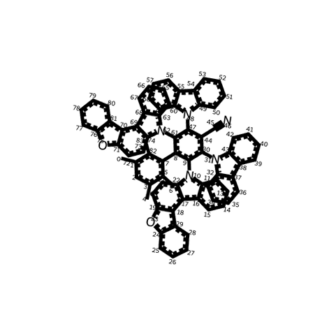 Cc1cc(C)c(C)c(-c2c(-n3c4ccccc4c4c5c(ccc43)oc3ccccc35)c(-n3c4ccccc4c4ccccc43)c(C#N)c(-n3c4ccccc4c4ccccc43)c2-n2c3ccccc3c3c4c(ccc32)oc2ccccc24)c1C